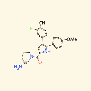 COc1ccc(-c2[nH]c(C(=O)N3CCC[C@@H](N)C3)[c]c2-c2ccc(C#N)c(F)c2)cc1